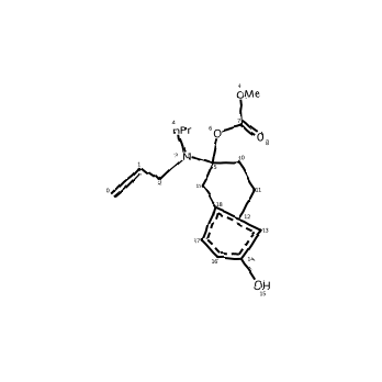 C=CCN(CCC)C1(OC(=O)OC)CCc2cc(O)ccc2C1